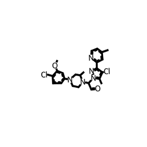 COc1cc(N2CCN(C(C=O)n3nc(-c4cc(C)ccn4)c(Cl)c3C)C(C)C2)ccc1Cl